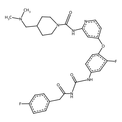 CN(C)CC1CCN(C(=O)Nc2cc(Oc3ccc(NC(=O)NC(=O)Cc4ccc(F)cc4)cc3F)ccn2)CC1